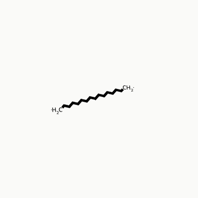 [CH2]CCCCCC[CH]CCCCCCC[CH2]